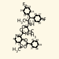 COc1ccnc(C(=O)N[C@@H](C)C(=O)N[C@@H](C)C(c2ccc(F)cc2)c2ccc(F)cc2)c1OC(=O)c1ccccc1